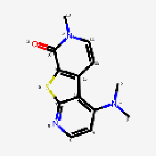 CN(C)c1ccnc2sc3c(=O)n(C)ccc3c12